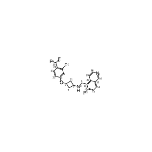 Fc1cc(OC2CC(NCc3c(F)ccc4cnccc34)C2)ccc1C(F)F